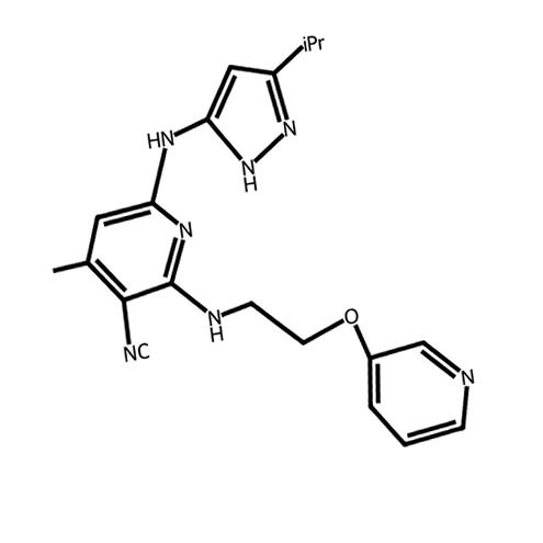 [C-]#[N+]c1c(C)cc(Nc2cc(C(C)C)n[nH]2)nc1NCCOc1cccnc1